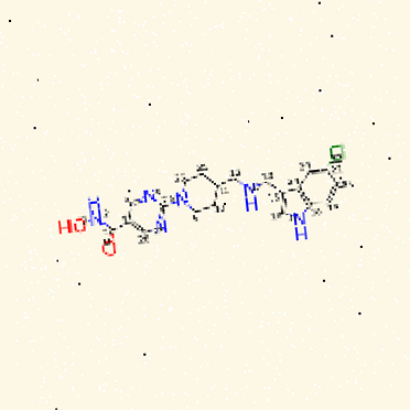 O=C(NO)c1cnc(N2CCC(CNCc3c[nH]c4ccc(Cl)cc34)CC2)nc1